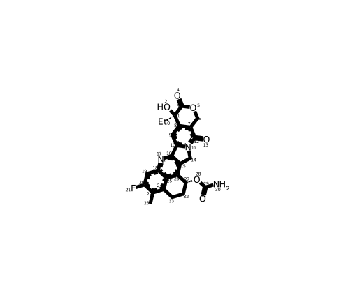 CC[C@]1(O)C(=O)OCc2c1cc1n(c2=O)Cc2c-1nc1cc(F)c(C)c3c1c2[C@H](OC(N)=O)CC3